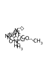 CCCCOc1ccc(C2(C)CC(c3ccn(CC4CCC4)n3)=C(c3nnc[nH]3)C(=O)N2)c(F)c1